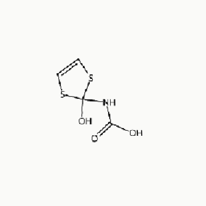 O=C(O)NC1(O)SC=CS1